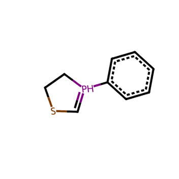 C1=[PH](c2ccccc2)CCS1